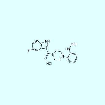 CC(C)(C)Nc1cccnc1N1CCN(C(=O)c2c[nH]c3ccc(F)cc23)CC1.Cl